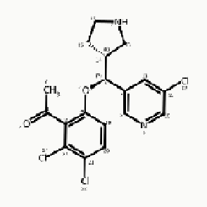 CC(=O)c1c(O[C@H](c2cncc(Cl)c2)[C@@H]2CCNC2)ccc(Cl)c1Cl